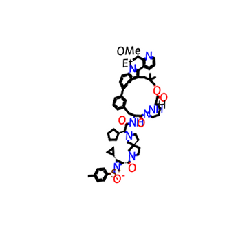 CCn1c(-c2cccnc2[C@H](C)OC)c2c3cc(ccc31)-c1cccc(c1)C[C@H](NC(=O)[C@H](C1CCCC1)N1CC[C@]3(CCN(C(=O)[C@H]4[C@@H](C5CC5)N4[S@+]([O-])c4ccc(C)cc4)C3)C1)C(=O)N1CCC[C@H](N1)C(=O)OCC(C)(C)C2